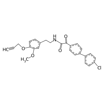 C#CCOc1ccc(CCNC(=O)C(=O)c2ccc(-c3ccc(Cl)cc3)cc2)cc1OC